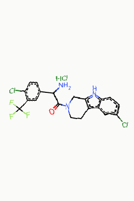 Cl.NC(C(=O)N1CCc2c([nH]c3ccc(Cl)cc23)C1)c1ccc(Cl)c(C(F)(F)F)c1